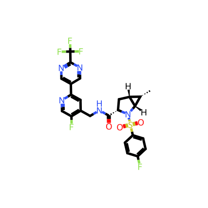 C[C@H]1[C@H]2C[C@@H](C(=O)NCc3cc(-c4cnc(C(F)(F)F)nc4)ncc3F)N(S(=O)(=O)c3ccc(F)cc3)[C@@H]12